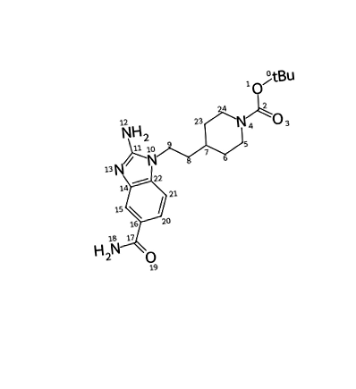 CC(C)(C)OC(=O)N1CCC(CCn2c(N)nc3cc(C(N)=O)ccc32)CC1